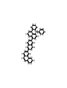 c1ccc(N2c3ccccc3-c3cccc4c(-c5ccc6cc(-c7ccc8ccc9ccccc9c8c7)ccc6c5)ccc2c34)cc1